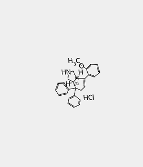 COc1ccccc1C1=CCC(c2ccccc2)(c2ccccc2)[C@H]2CNC[C@@H]12.Cl